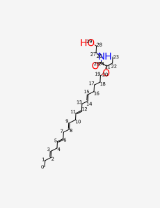 CCC=CCC=CCC=CCC=CCC=CCCCCOC(CC)C(=O)NCCO